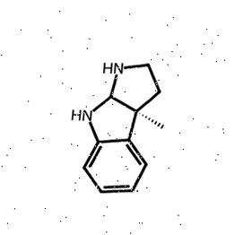 C[C@@]12CCNC1Nc1cc[c]cc12